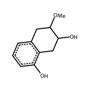 COC1Cc2cccc(O)c2CC1O